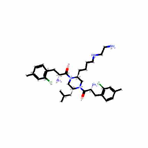 Cc1ccc(C[C@@H](N)C(=O)N2C[C@H](CCCCNCCN)N(C(=O)[C@H](N)Cc3ccc(C)cc3Cl)C[C@H]2CC(C)C)c(Cl)c1